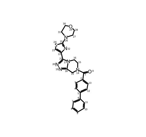 O=C(c1ccc(-c2ccccc2)cc1)N1CCn2c(nnc2-c2csc(N3CCOCC3)n2)C1